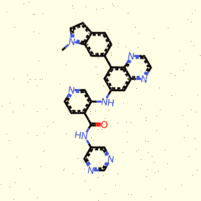 Cn1ccc2ccc(-c3cc(Nc4cnccc4C(=O)Nc4cncnc4)cc4nccnc34)cc21